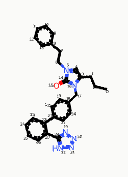 CCCc1cn(CCc2ccccc2)c(=O)n1Cc1ccc(-c2ccccc2-c2nnn[nH]2)cc1